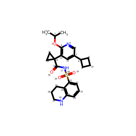 CC(C)Oc1ncc(C2CCC2)cc1C1(C(=O)NS(=O)(=O)c2cccc3c2CCCN3)CC1